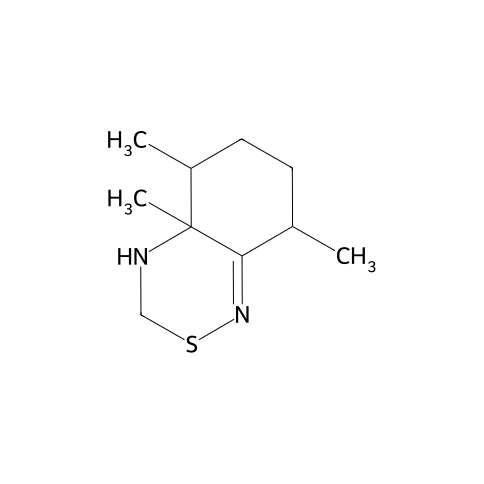 CC1CCC(C)C2(C)NCSN=C12